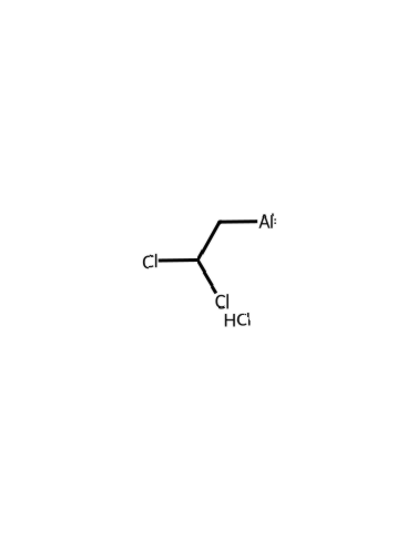 Cl.[Al][CH2]C(Cl)Cl